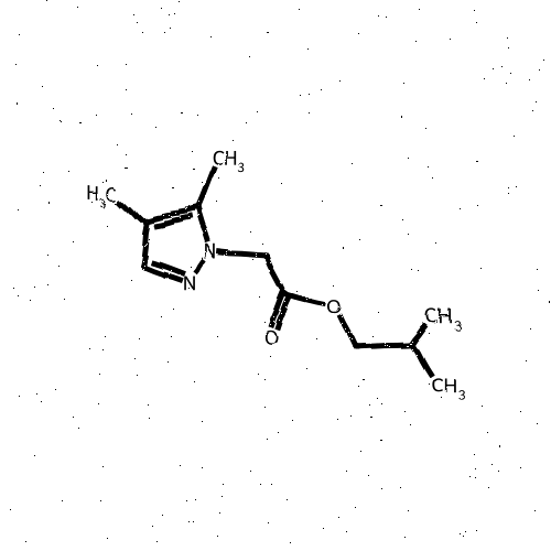 Cc1cnn(CC(=O)OCC(C)C)c1C